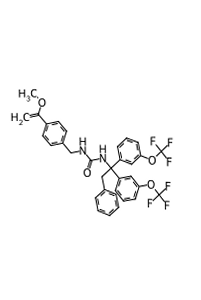 C=C(OC)c1ccc(CNC(=O)NC(Cc2ccccc2)(c2cccc(OC(F)(F)F)c2)c2cccc(OC(F)(F)F)c2)cc1